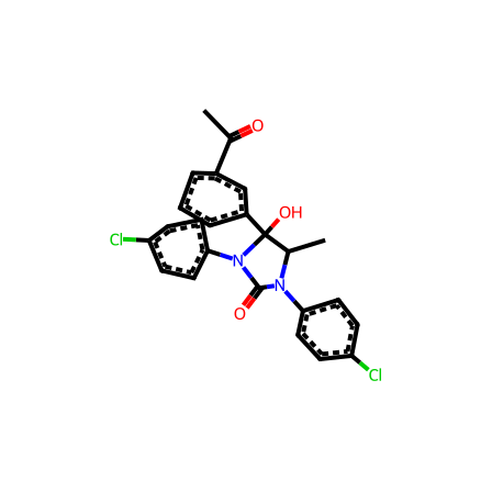 CC(=O)c1cccc(C2(O)C(C)N(c3ccc(Cl)cc3)C(=O)N2c2ccc(Cl)cc2)c1